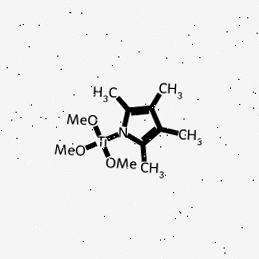 C[O][Ti]([O]C)([O]C)[n]1c(C)c(C)c(C)c1C